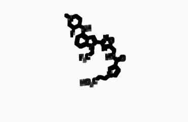 CN1CC[C@@H](Nc2cccc3c2cc(-c2noc(CNC(=O)c4ccn(CCC(=O)O)c4)n2)n3CC(F)(F)F)[C@@H](F)C1